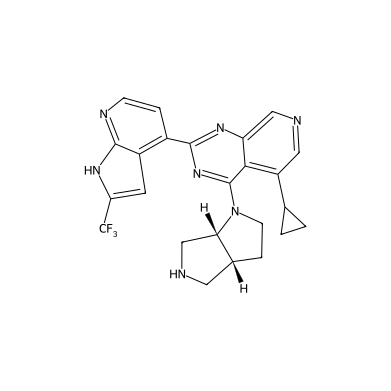 FC(F)(F)c1cc2c(-c3nc(N4CC[C@@H]5CNC[C@@H]54)c4c(C5CC5)cncc4n3)ccnc2[nH]1